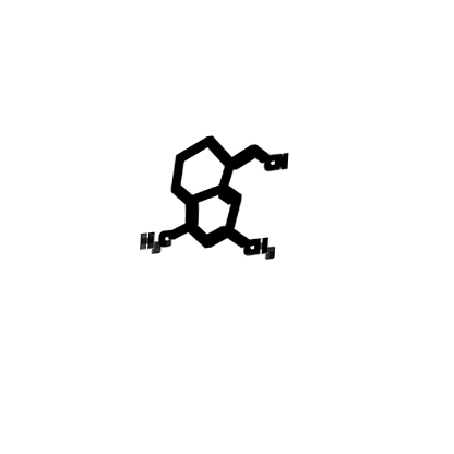 Cc1cc(C)c2c(c1)/C(=C\C#N)CCC2